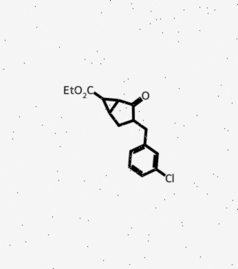 CCOC(=O)C1C2CC(Cc3cccc(Cl)c3)C(=O)C21